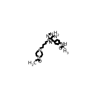 C=CC(=O)N1CCCN(CCCCCn2nc(-c3ccc(NC(C)=O)cc3)c3c(N)ncnc32)CCC1